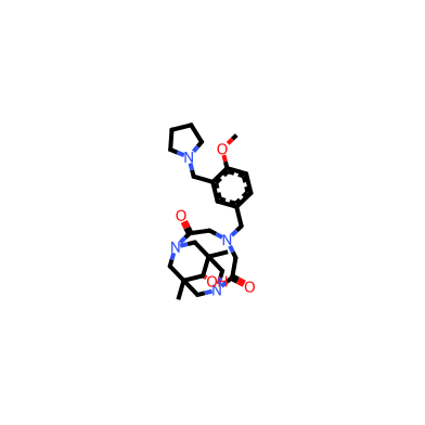 COc1ccc(CN2CC(=O)N3CC4(C)CN(CC(C)(C3)C4O)C(=O)C2)cc1CN1CCCC1